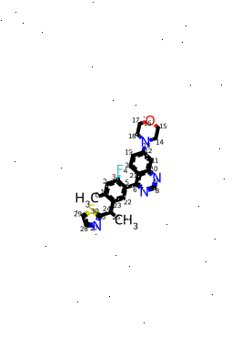 Cc1cc(F)c(-c2ncnc3cc(N4CCOCC4)ccc23)cc1C(C)c1nccs1